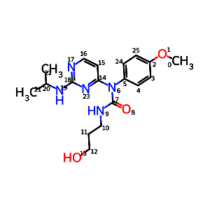 COc1ccc(N(C(=O)NCCCO)c2ccnc(NC(C)C)n2)cc1